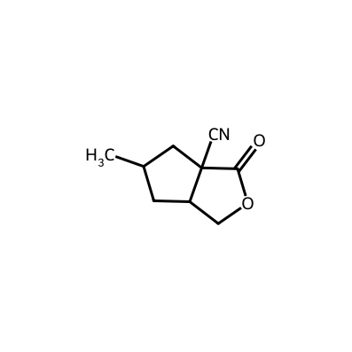 CC1CC2COC(=O)C2(C#N)C1